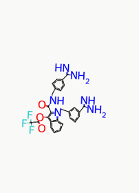 N=C(N)c1ccc(CNC(=O)c2c(OC(=O)C(F)(F)F)c3ccccc3n2Cc2cccc(C(=N)N)c2)cc1